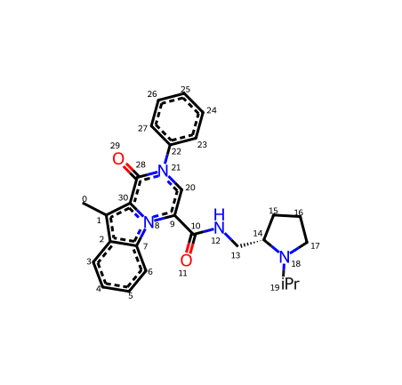 Cc1c2ccccc2n2c(C(=O)NC[C@@H]3CCCN3C(C)C)cn(-c3ccccc3)c(=O)c12